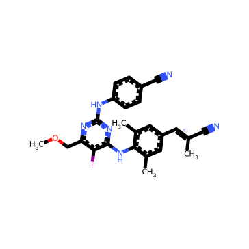 COCc1nc(Nc2ccc(C#N)cc2)nc(Nc2c(C)cc(/C=C(\C)C#N)cc2C)c1I